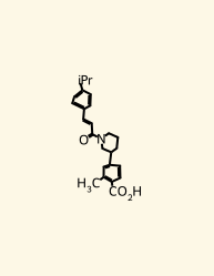 Cc1cc(C2CCCN(C(=O)C=Cc3ccc(C(C)C)cc3)C2)ccc1C(=O)O